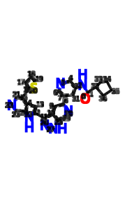 O=C(Nc1cncc(-c2cc3c(-c4cc5c(-c6cccs6)cncc5[nH]4)n[nH]c3cn2)c1)C1CCCC1